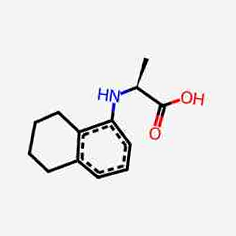 C[C@H](Nc1cccc2c1CCCC2)C(=O)O